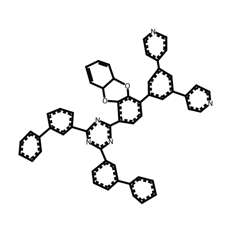 C1=CC2Oc3c(-c4cc(-c5ccncc5)cc(-c5ccncc5)c4)ccc(-c4nc(-c5cccc(-c6ccccc6)c5)nc(-c5cccc(-c6ccccc6)c5)n4)c3OC2C=C1